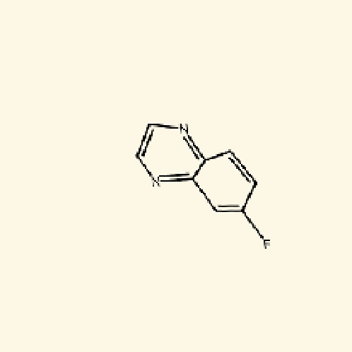 Fc1ccc2nccnc2c1